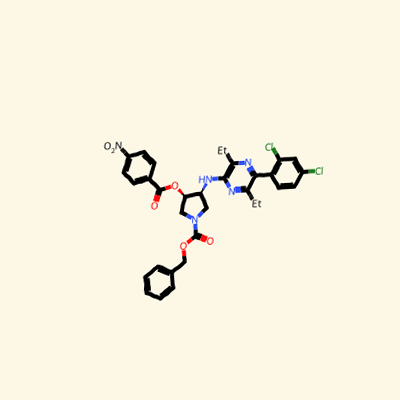 CCc1nc(-c2ccc(Cl)cc2Cl)c(CC)nc1N[C@H]1CN(C(=O)OCc2ccccc2)C[C@H]1OC(=O)c1ccc([N+](=O)[O-])cc1